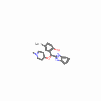 COc1ccc(O)c(C(OC2CCN(C)CC2)c2nc3ccccc3[nH]2)c1